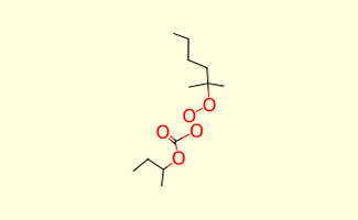 CCCCC(C)(C)OOOC(=O)OC(C)CC